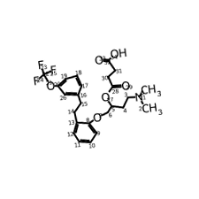 CN(C)CCC(COc1ccccc1CCc1cccc(OC(F)(F)F)c1)OC(=O)CCC(=O)O